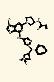 C=CC(=O)N[C@H]1CCN(c2nc(Nc3cnn([C@H](c4ccccc4)C4CS(=O)(=O)C4)c3)c3ncn(C(C)C)c3n2)C1